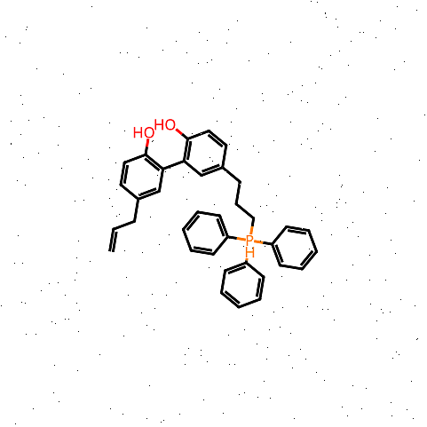 C=CCc1ccc(O)c(-c2cc(CCC[PH](c3ccccc3)(c3ccccc3)c3ccccc3)ccc2O)c1